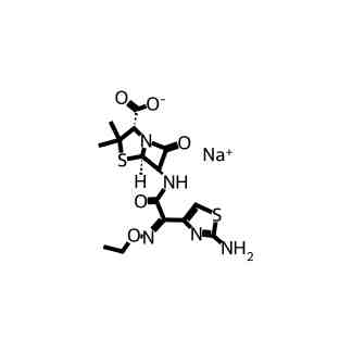 CCO/N=C(\C(=O)N[C@H]1C(=O)N2[C@@H]1SC(C)(C)[C@@H]2C(=O)[O-])c1csc(N)n1.[Na+]